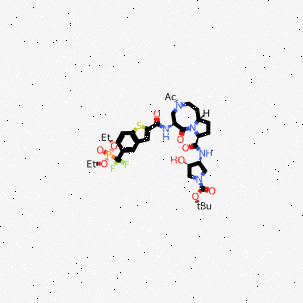 CCOP(=O)(OCC)C(F)(F)c1ccc2sc(C(=O)N[C@H]3CN(C(C)=O)CC[C@H]4CC[C@@H](C(=O)N[C@H]5CN(C(=O)OC(C)(C)C)C[C@@H]5O)N4C3=O)cc2c1